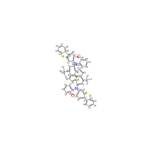 CC(C)(C)c1cc(N2c3ccccc3Oc3cc4c(cc32)sc2ccccc24)c2ccc3c(C(C)(C)C)cc(N4c5ccccc5Oc5cc6c(cc54)sc4ccccc46)c4ccc1c2c43